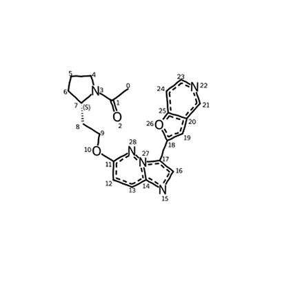 CC(=O)N1CCC[C@H]1CCOc1ccc2ncc(-c3cc4cnccc4o3)n2n1